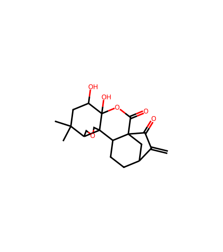 C=C1C(=O)C23CC1CCC2C12COCC1C(C)(C)CC(O)C2(O)OC3=O